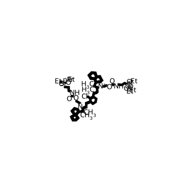 CCC[Si](CCCNC(=O)OCCN1/C(=C\C=C2/CCCC(/C=C/C3=[N+](CCOC(=O)NCCC[Si](OCC)(OCC)OCC)c4ccc5ccccc5c4C3(C)C)=C2Cl)C(C)(C)c2c1ccc1ccccc21)(OCC)OCC